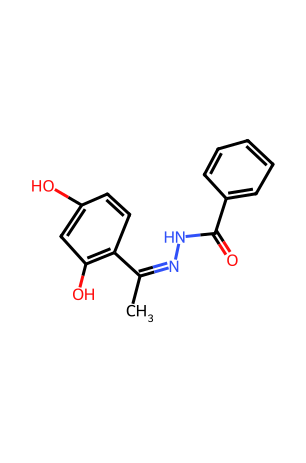 CC(=NNC(=O)c1ccccc1)c1ccc(O)cc1O